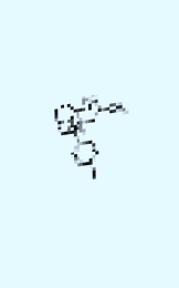 CC(O)CC1=C(c2ccc(F)cc2)CC2CC[C@H]1N2C